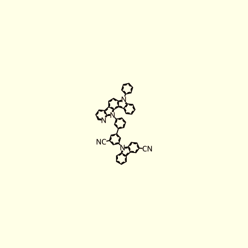 N#Cc1cc(-c2cccc(-n3c4ncccc4c4ccc5c(c6ccccc6n5-c5ccccc5)c43)c2)cc(-n2c3ccccc3c3cc(C#N)ccc32)c1